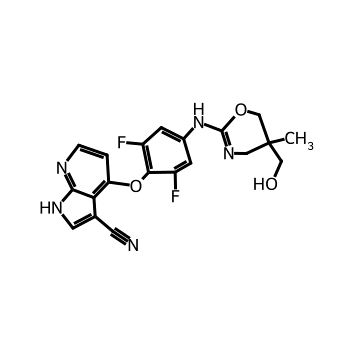 CC1(CO)CN=C(Nc2cc(F)c(Oc3ccnc4[nH]cc(C#N)c34)c(F)c2)OC1